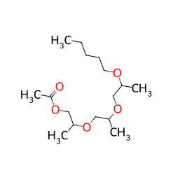 CCCCCOC(C)COC(C)COC(C)COC(C)=O